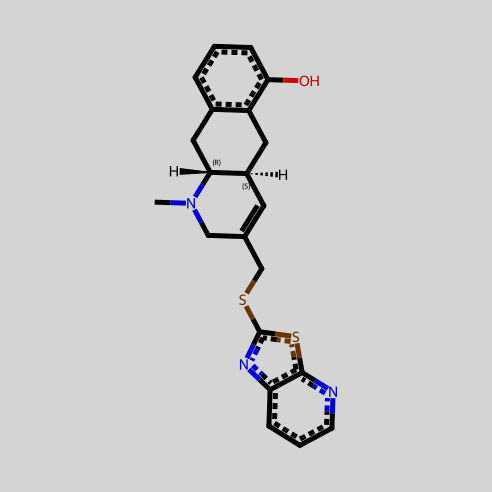 CN1CC(CSc2nc3cccnc3s2)=C[C@@H]2Cc3c(O)cccc3C[C@H]21